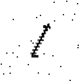 C=C(C)C(=O)OCCOCCCCCCCCCCCCCCCCCCCCCC